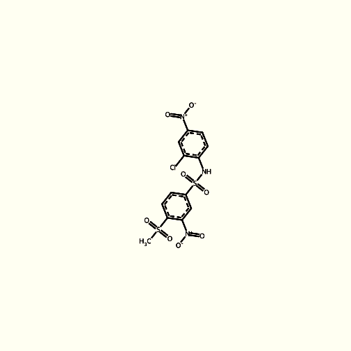 CS(=O)(=O)c1ccc(S(=O)(=O)Nc2ccc([N+](=O)[O-])cc2Cl)cc1[N+](=O)[O-]